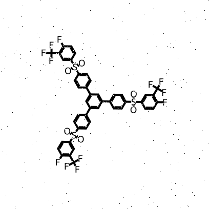 O=S(=O)(c1ccc(-c2cc(-c3ccc(S(=O)(=O)c4ccc(F)c(C(F)(F)F)c4)cc3)cc(-c3ccc(S(=O)(=O)c4ccc(F)c(C(F)(F)F)c4)cc3)c2)cc1)c1ccc(F)c(C(F)(F)F)c1